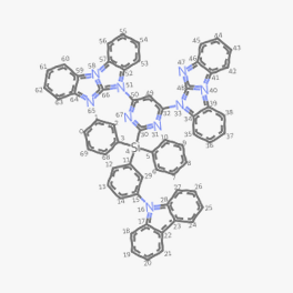 c1ccc([Si](c2ccccc2)(c2cccc(-n3c4ccccc4c4ccccc43)c2)c2nc(-n3c4ccccc4n4c5ccccc5nc34)cc(-n3c4ccccc4n4c5ccccc5nc34)n2)cc1